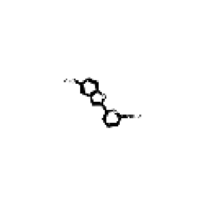 COc1ccc2oc(-c3cccc(NC(C)=O)n3)cc2c1